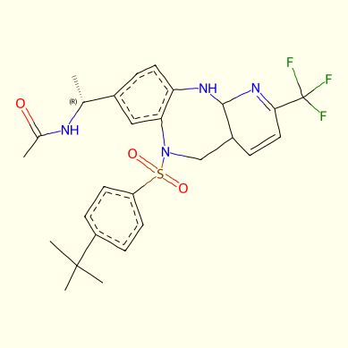 CC(=O)N[C@H](C)c1ccc2c(c1)N(S(=O)(=O)c1ccc(C(C)(C)C)cc1)CC1C=CC(C(F)(F)F)=NC1N2